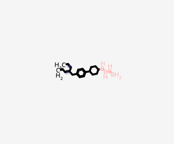 BBBBC1CCC(c2ccc(CC(/C=C\C)=C/C=C)cc2)CC1